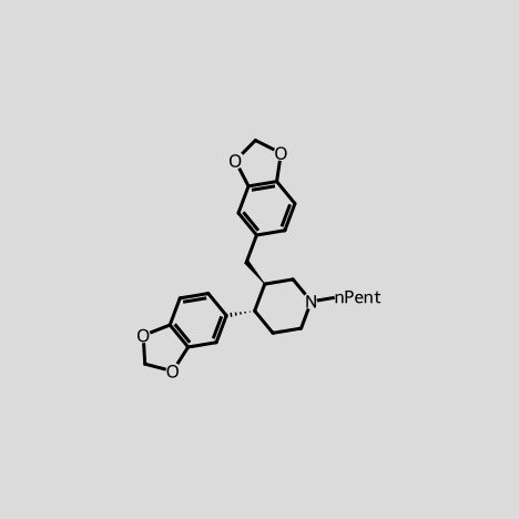 CCCCCN1CC[C@H](c2ccc3c(c2)OCO3)[C@@H](Cc2ccc3c(c2)OCO3)C1